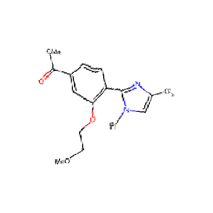 COCCOc1cc(C(=O)OC)ccc1-c1nc(C(F)(F)F)cn1C(C)C